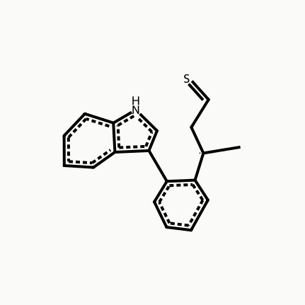 C[C](CC=S)c1ccccc1-c1c[nH]c2ccccc12